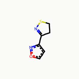 c1cc(C2=NSCC2)no1